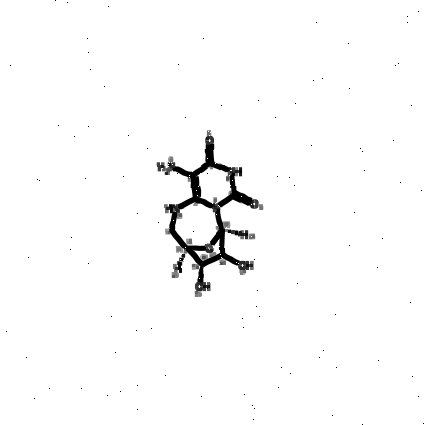 Nc1c2n(c(=O)[nH]c1=O)[C@@H]1O[C@H](CN2)[C@H](O)C1O